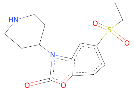 CCS(=O)(=O)c1ccc2oc(=O)n(C3CCNCC3)c2c1